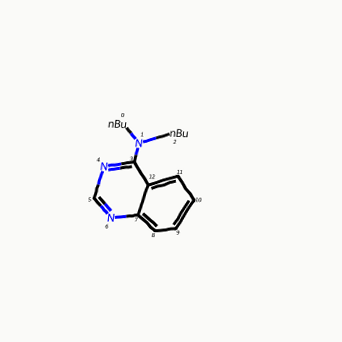 CCCCN(CCCC)c1ncnc2ccccc12